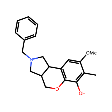 COc1cc2c(c(O)c1C)OCC1CN(Cc3ccccc3)CC21